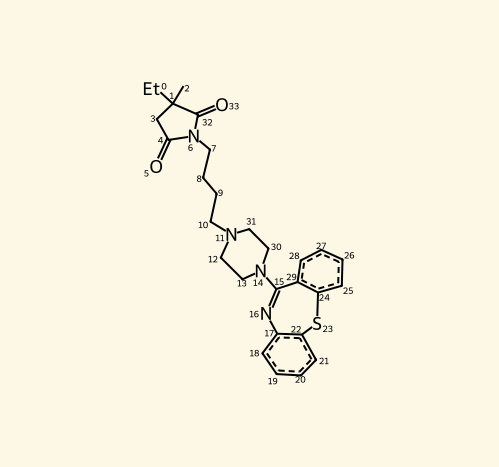 CCC1(C)CC(=O)N(CCCCN2CCN(C3=Nc4ccccc4Sc4ccccc43)CC2)C1=O